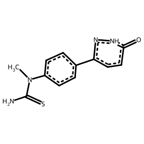 CN(C(N)=S)c1ccc(-c2ccc(=O)[nH]n2)cc1